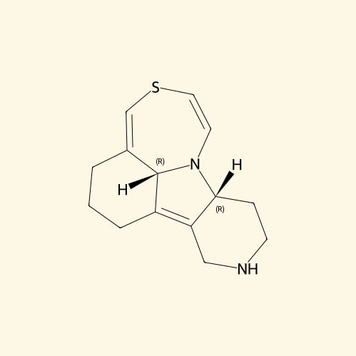 C1=CN2[C@H]3C(=CS1)CCCC3=C1CNCC[C@H]12